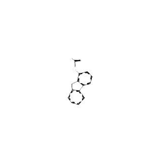 [O]C(=O)Nc1cccc2c1Cc1ccccc1-2